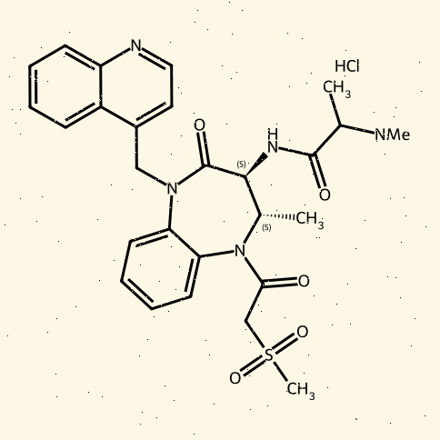 CNC(C)C(=O)N[C@@H]1C(=O)N(Cc2ccnc3ccccc23)c2ccccc2N(C(=O)CS(C)(=O)=O)[C@H]1C.Cl